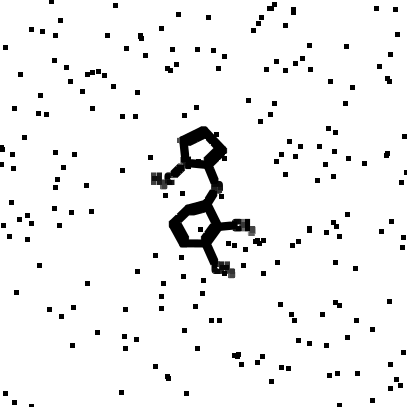 Cc1cccc(Oc2cc[c]n2C)c1C